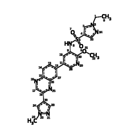 CCn1cc(S(=O)(=O)Nc2cc(-c3ccc4ncc(-c5cnn(C)c5)nc4c3)cnc2OC)cn1